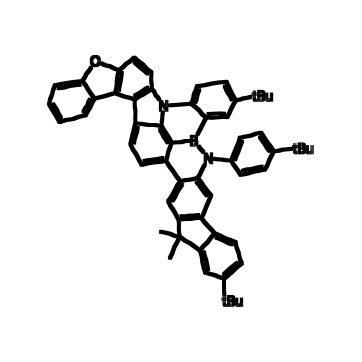 CC(C)(C)c1ccc(N2B3c4cc(C(C)(C)C)ccc4-n4c5ccc6oc7ccccc7c6c5c5ccc(c3c54)-c3cc4c(cc32)-c2ccc(C(C)(C)C)cc2C4(C)C)cc1